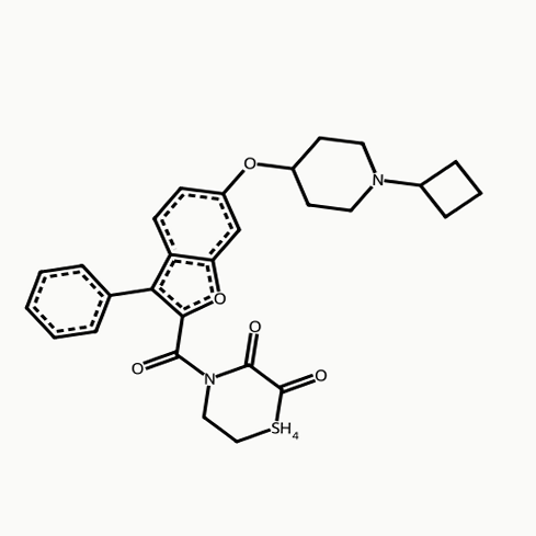 O=C1[SH4]CCN(C(=O)c2oc3cc(OC4CCN(C5CCC5)CC4)ccc3c2-c2ccccc2)C1=O